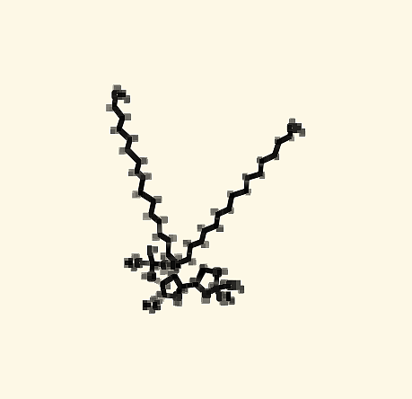 CCCCCCCCCCCCCCCCN(CCCCCCCCCCCCCCCC)[C@H]1[C@@H](OC(C)(C)I)[C@@H](C)O[C@@H]1[C@H]1COC(C)(C)O1